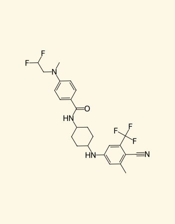 Cc1cc(NC2CCC(NC(=O)c3ccc(N(C)CC(F)F)cc3)CC2)cc(C(F)(F)F)c1C#N